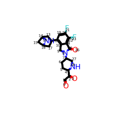 O=CC(=O)C1CCC(N2Cc3c(C4CC5CC(C4)N5)cc(F)c(F)c3C2=O)CN1